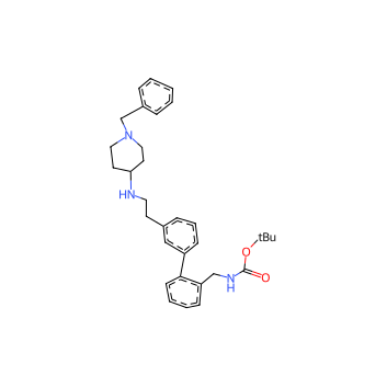 CC(C)(C)OC(=O)NCc1ccccc1-c1cccc(CCNC2CCN(Cc3ccccc3)CC2)c1